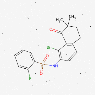 CC1(C)CCc2ccc(NS(=O)(=O)c3ccccc3F)c(Br)c2C1=O